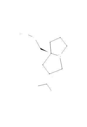 COC[C@@]12CCCN1C[C@H](C(F)F)C2